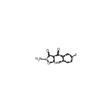 Nn1oc2[nH]c3ccc(F)cc3c(=O)c2c1=O